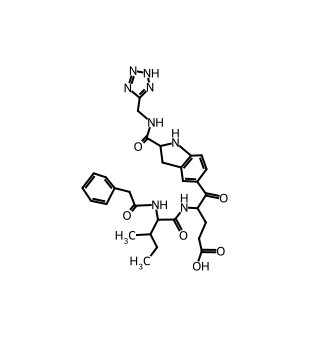 CCC(C)C(NC(=O)Cc1ccccc1)C(=O)NC(CCC(=O)O)C(=O)c1ccc2c(c1)CC(C(=O)NCc1nn[nH]n1)N2